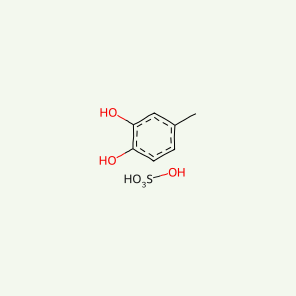 Cc1ccc(O)c(O)c1.O=S(=O)(O)O